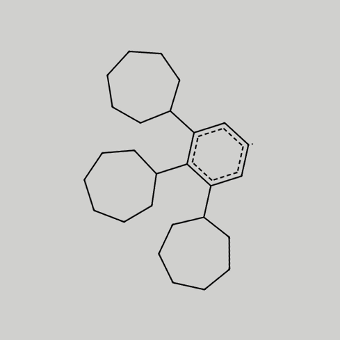 [c]1cc(C2CCCCCC2)c(C2CCCCCC2)c(C2CCCCCC2)c1